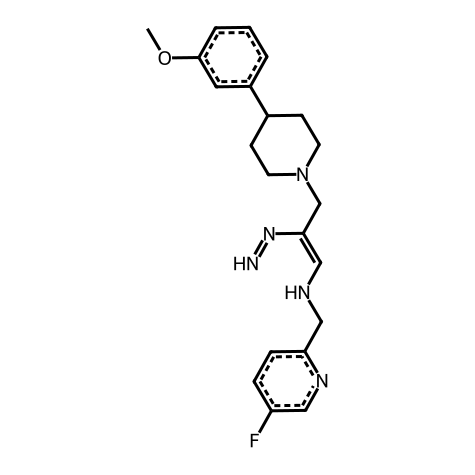 COc1cccc(C2CCN(C/C(=C/NCc3ccc(F)cn3)N=N)CC2)c1